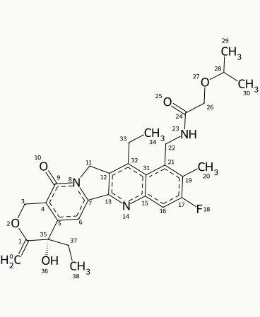 C=C1OCc2c(cc3n(c2=O)Cc2c-3nc3cc(F)c(C)c(CNC(=O)COC(C)C)c3c2CC)[C@@]1(O)CC